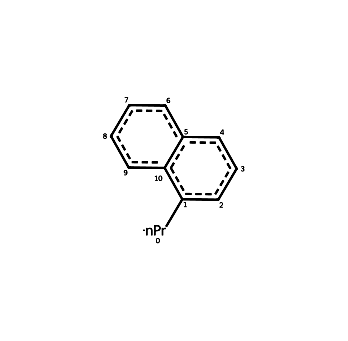 CC[CH]c1cccc2ccccc12